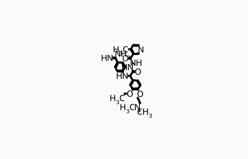 CCOc1cc(C(Nc2ccc(C(=N)N)cc2)C(=O)NNC(=O)c2cnccc2C)ccc1OCCN(C)C